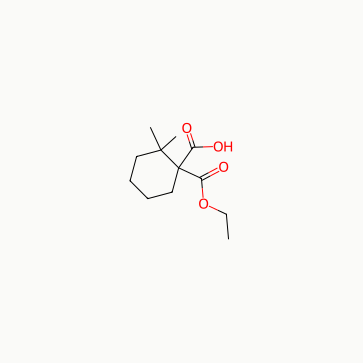 CCOC(=O)C1(C(=O)O)CCCCC1(C)C